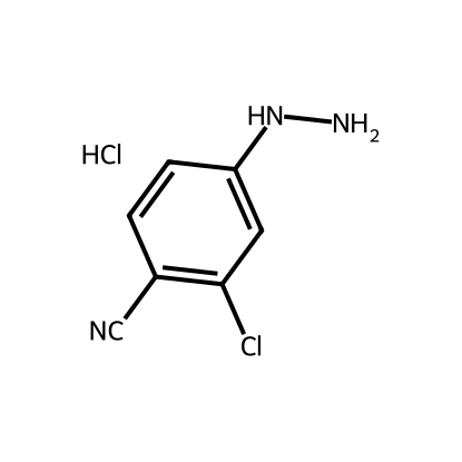 Cl.N#Cc1ccc(NN)cc1Cl